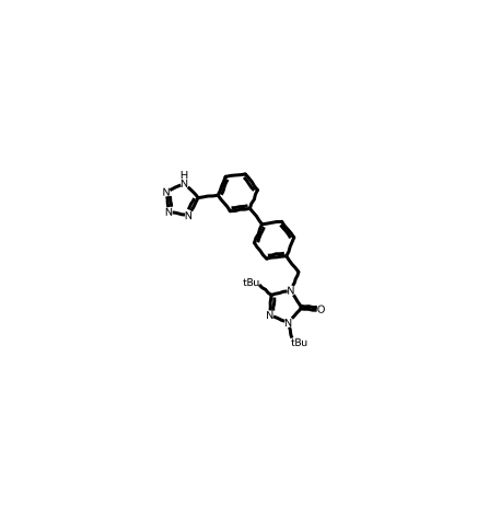 CC(C)(C)c1nn(C(C)(C)C)c(=O)n1Cc1ccc(-c2cccc(-c3nnn[nH]3)c2)cc1